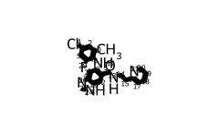 Cc1cc(Cl)ccc1Nc1c(C(=O)NCCc2ccccn2)cc2[nH]cnc2c1F